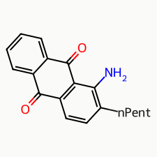 CCCCCc1ccc2c(c1N)C(=O)c1ccccc1C2=O